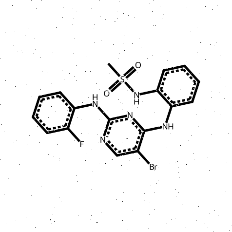 CS(=O)(=O)Nc1ccccc1Nc1nc(Nc2ccccc2F)ncc1Br